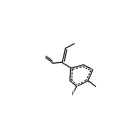 C=C/C(=C/C)c1ccc(C)c(F)c1